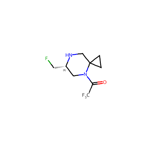 O=C(N1C[C@H](CF)NCC12CC2)C(F)(F)F